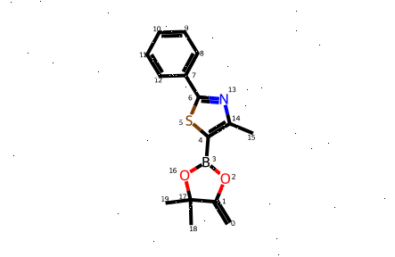 C=C1OB(c2sc(-c3ccccc3)nc2C)OC1(C)C